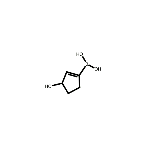 OB(O)C1=CC(O)CC1